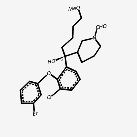 CCc1cccc(Oc2c(Cl)cccc2[C@](O)(CCCCOC)C2CCCN(C=O)C2)c1